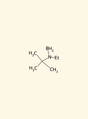 BN(CC)C(C)(C)C